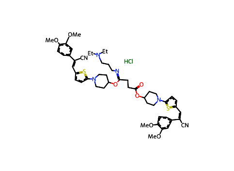 CCN(CC)CCCN=C(CCC(=O)OC1CCN(c2ccc(C=C(C#N)c3ccc(OC)c(OC)c3)s2)CC1)OC1CCN(c2ccc(C=C(C#N)c3ccc(OC)c(OC)c3)s2)CC1.Cl